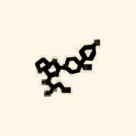 CC(C)[C@H](CO)Nc1nc(N2CCC(O)(c3ccc(Cl)cc3)CC2)nc2c1SCC2